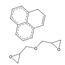 C(OCC1CO1)C1CO1.C1=Cc2cccc3cccc(c23)C1